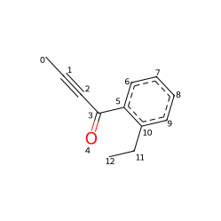 CC#CC(=O)c1ccccc1CC